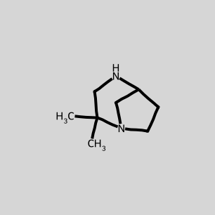 CC1(C)CNC2CCN1C2